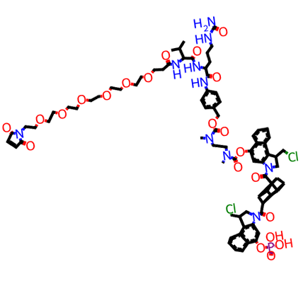 CC(C)C(NC(=O)CCOCCOCCOCCOCCOCCOCCN1C(=O)C=CC1=O)C(=O)NC(CCCNC(N)=O)C(=O)Nc1ccc(COC(=O)N(C)CCN(C)C(=O)Oc2cc3c(c4ccccc24)C(CCl)CN3C(=O)C23C4C5C2C2C3C4C52C(=O)N2CC(CCl)c3c2cc(OP(=O)(O)O)c2ccccc32)cc1